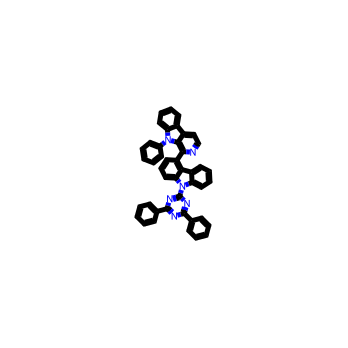 c1ccc(-c2nc(-c3ccccc3)nc(-n3c4ccccc4c4c(-c5nccc6c7ccccc7n(-c7ccccc7)c56)cccc43)n2)cc1